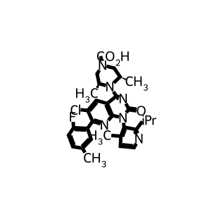 Cc1ccc(F)c(-c2nc3c(cc2Cl)c(N2[C@@H](C)CN(C(=O)O)C[C@@H]2C)nc(=O)n3-c2c(C)ccnc2C(C)C)c1